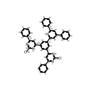 Clc1nc(-c2ccccc2)cc(-c2cc(-c3cc(-c4ccccc4)cc(-c4ccccc4)n3)cc(-c3cc(-c4ccccc4)nc(Cl)n3)c2)n1